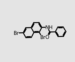 O=C(Nc1ccc2cc(Br)ccc2c1Br)c1ccccc1